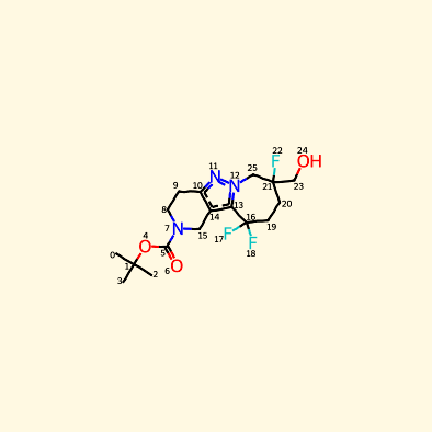 CC(C)(C)OC(=O)N1CCc2nn3c(c2C1)C(F)(F)CCC(F)(CO)C3